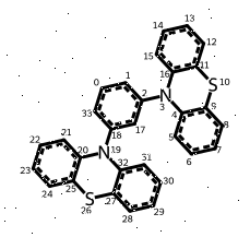 c1cc(N2c3ccccc3Sc3ccccc32)cc(N2c3ccccc3Sc3ccccc32)c1